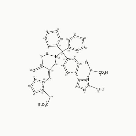 CCC(C(=O)O)n1ccnc1C=O.CCOC(=O)Cn1ccnc1C=C1CN(C(c2ccccc2)(c2ccccc2)c2ccccc2)CCC1=O